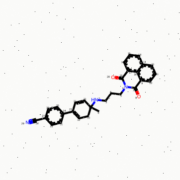 CC1(NCCCN2C(=O)c3cccc4cccc(c34)C2=O)C=CC(c2ccc(C#N)cc2)=CC1